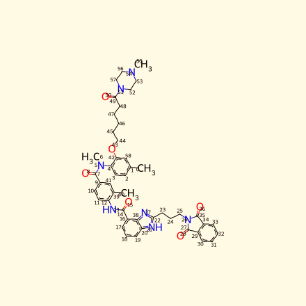 Cc1ccc(N(C)C(=O)c2ccc(NC(=O)c3cccc4[nH]c(CCCN5C(=O)c6ccccc6C5=O)nc34)c(C)c2)c(OCCCCCC(=O)N2CCN(C)CC2)c1